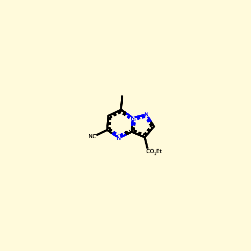 CCOC(=O)c1cnn2c(C)cc(C#N)nc12